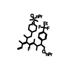 C=C/C(C)=C(\C(F)=C(/C)C(C)C(COCCC)c1ccc(C(F)(F)CC)cc1)C(C)CC1CCN(S(C)(C)(=O)CCC)CC1